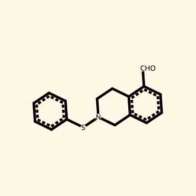 O=Cc1cccc2c1CCN(Sc1ccccc1)C2